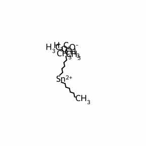 CC(C)[O-].CC(C)[O-].CCCCCCC[CH2][Sn+2][CH2]CCCCCCC